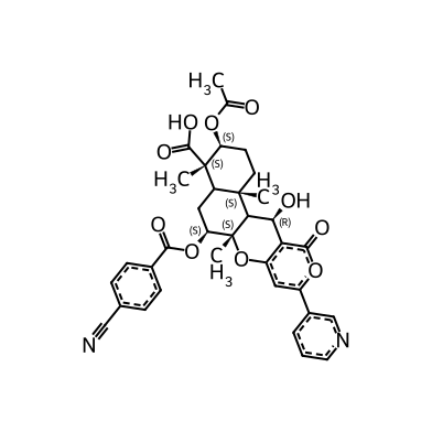 CC(=O)O[C@H]1CC[C@]2(C)C3[C@@H](O)c4c(cc(-c5cccnc5)oc4=O)O[C@]3(C)[C@@H](OC(=O)c3ccc(C#N)cc3)CC2[C@]1(C)C(=O)O